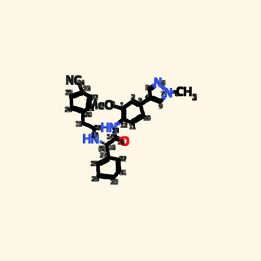 COc1cc(-c2cnn(C)c2)ccc1NC(=O)[C@@H](NCCc1ccc(C#N)cc1)c1ccccc1